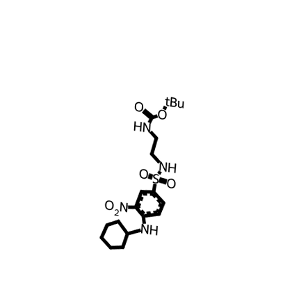 CC(C)(C)OC(=O)NCCNS(=O)(=O)c1ccc(NC2CCCCC2)c([N+](=O)[O-])c1